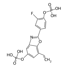 C=Cc1cc(OP(=O)(O)O)cc2nc(-c3ccc(OP(=O)(O)O)c(F)c3)oc12